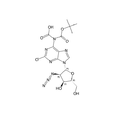 CC(C)(C)OC(=O)N(C(=O)O)c1nc(Cl)nc2c1ncn2[C@@H]1O[C@H](CO)[C@@H](O)[C@H]1N=[N+]=[N-]